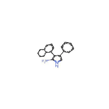 Nc1[nH]cc(-c2ccccc2)c1-c1cccc2ccccc12